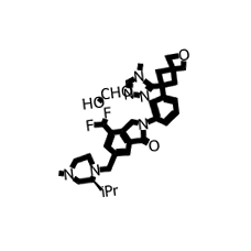 CC(C)[C@H]1CN(C)CCN1Cc1cc2c(c(C(F)F)c1)CN(c1cccc(C3(c4nncn4C)CC4(COC4)C3)c1)C2=O.O=CO